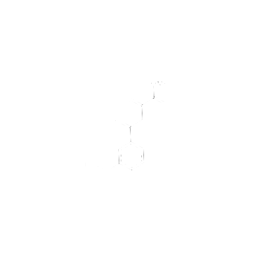 COC(=O)C(=O)CC(=O)c1cccc(OC(F)(F)F)c1